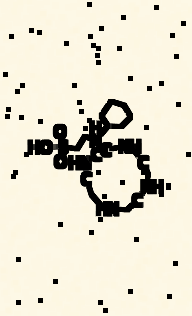 C1CNCCNCCCNCCNC1.O=S(=O)(O)CCNC1CCCCC1